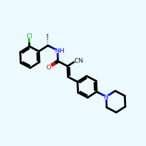 C[C@H](NC(=O)/C(C#N)=C/c1ccc(N2CCCCC2)cc1)c1ccccc1Cl